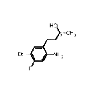 CCc1cc(CC[C@@H](C)O)c(N)cc1F